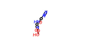 CN1CCN(N=Cc2ccc(C(=O)Nc3ccc4c(c3)CN(CC(=O)OCCO)CC4)cc2)CC1